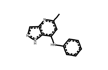 Cc1cc(Nc2ccccc2)c2[nH]ncc2n1